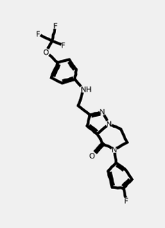 O=C1c2cc(CNc3ccc(OC(F)(F)F)cc3)nn2CCN1c1ccc(F)cc1